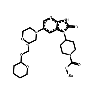 CC(C)(C)OC(=O)N1CCC(n2c(=O)[nH]c3ncc(N4CCO[C@H](COC5CCCCO5)C4)cc32)CC1